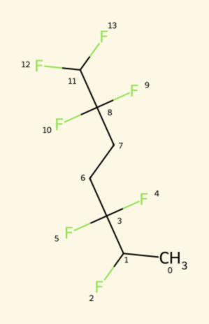 CC(F)C(F)(F)CCC(F)(F)C(F)F